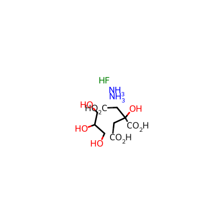 F.N.N.O=C(O)CC(O)(CC(=O)O)C(=O)O.OCC(O)CO